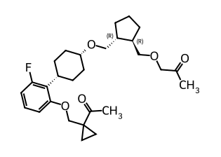 CC(=O)COC[C@@H]1CCC[C@H]1CO[C@H]1CC[C@@H](c2c(F)cccc2OCC2(C(C)=O)CC2)CC1